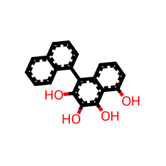 Oc1c(O)c(O)c2c(O)cccc2c1-c1cccc2ccccc12